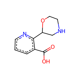 O=C(O)c1cccnc1C1CNCCO1